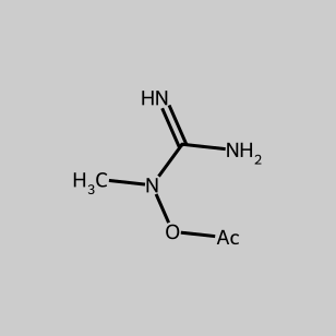 CC(=O)ON(C)C(=N)N